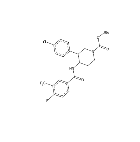 CC(C)(C)OC(=O)N1CCC(NC(=O)c2ccc(F)c(C(F)(F)F)c2)C(c2ccc(Cl)cc2)C1